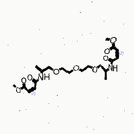 COC(=O)/C=C\C(=O)NC(C)COCCOCCOCC(C)NC(=O)/C=C\C(=O)OC